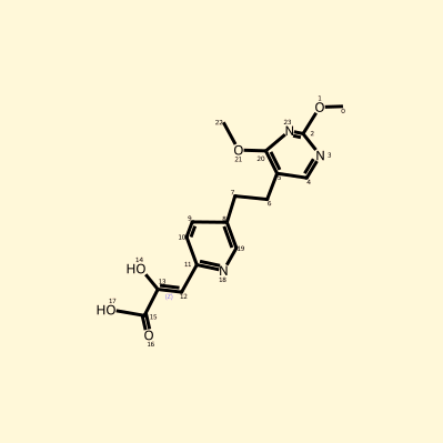 COc1ncc(CCc2ccc(/C=C(\O)C(=O)O)nc2)c(OC)n1